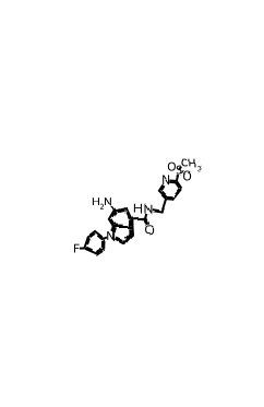 CS(=O)(=O)c1ccc(CNC(=O)c2cc(N)cc3c2ccn3-c2ccc(F)cc2)cn1